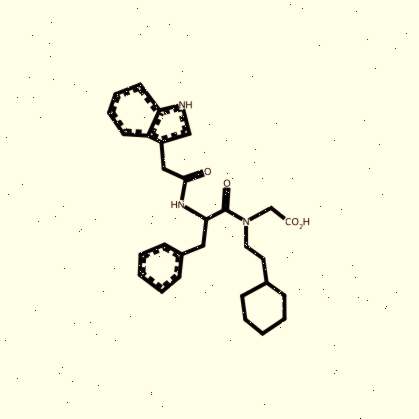 O=C(O)CN(CCC1CCCCC1)C(=O)C(Cc1ccccc1)NC(=O)Cc1c[nH]c2ccccc12